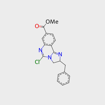 COC(=O)c1ccc2c(c1)N=C(Cl)N1CC(Cc3ccccc3)N=C21